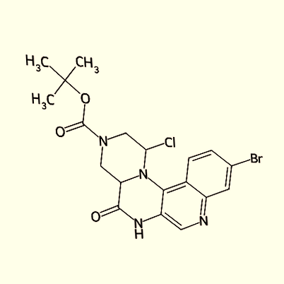 CC(C)(C)OC(=O)N1CC(Cl)N2c3c(cnc4cc(Br)ccc34)NC(=O)C2C1